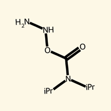 CC(C)N(C(=O)ONN)C(C)C